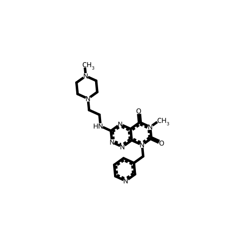 CN1CCN(CCNc2nnc3c(n2)c(=O)n(C)c(=O)n3Cc2cccnc2)CC1